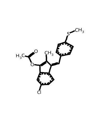 CSc1ccc(C=C2C(C)=C(OC(C)=O)c3cc(Cl)ccc32)cc1